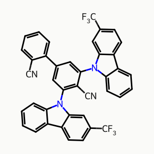 N#Cc1ccccc1-c1cc(-n2c3ccccc3c3ccc(C(F)(F)F)cc32)c(C#N)c(-n2c3ccccc3c3ccc(C(F)(F)F)cc32)c1